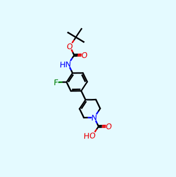 CC(C)(C)OC(=O)Nc1ccc(C2=CCN(C(=O)O)CC2)cc1F